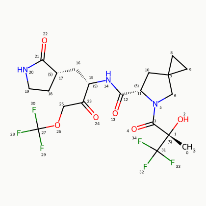 C[C@](O)(C(=O)N1CC2(CC2)C[C@H]1C(=O)N[C@@H](C[C@@H]1CCNC1=O)C(=O)COC(F)(F)F)C(F)(F)F